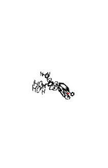 CC1(C)C(c2ccccc2)=CC=CC1(COc1cc(OCc2cncc(C#N)c2)c(CNC(CO)CO)cc1Cl)C(=O)N1CCOCC1